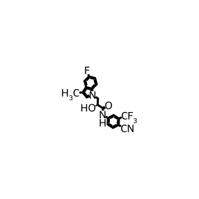 Cc1cn(C[C@H](O)C(=O)Nc2ccc(C#N)c(C(F)(F)F)c2)c2ccc(F)cc12